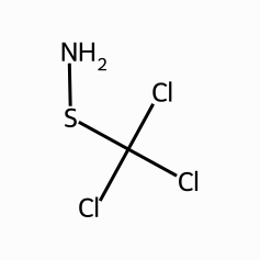 NSC(Cl)(Cl)Cl